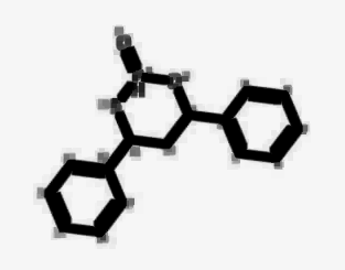 O=[PH]1OC(c2ccccc2)CC(c2ccccc2)S1